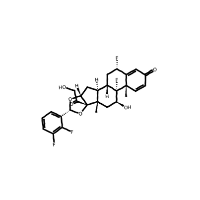 C[C@]12C=CC(=O)C=C1[C@@H](F)C[C@H]1[C@@H]3C[C@H]4O[C@@H](c5cccc(F)c5F)O[C@@]4(C(=O)CO)[C@@]3(C)C[C@H](O)[C@@]12F